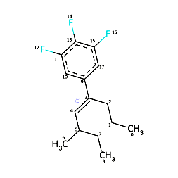 CCC/C(=C\C(C)CC)c1cc(F)c(F)c(F)c1